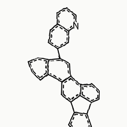 c1ccc2c(c1)-c1cccc3c1c-2cc1c2ccccc2c(-c2ccc4cccnc4c2)cc31